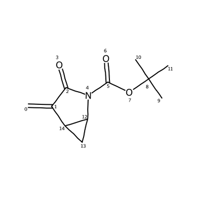 C=C1C(=O)N(C(=O)OC(C)(C)C)C2CC12